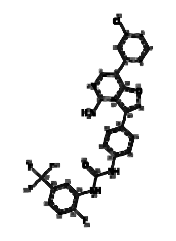 Nc1ncc(-c2cccc(Cl)c2)c2occ(-c3ccc(NC(=O)Nc4cc(C(F)(F)F)ccc4F)cc3)c12